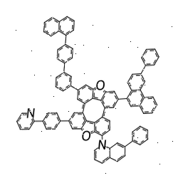 C1=CN(c2ccc3c4cc(-c5cc6ccccc6c6cc(-c7ccccc7)ccc56)cc5oc6cc(-c7cccc(-c8ccc(-c9cccc%10ccccc9%10)cc8)c7)cc(c7cc(-c8ccc(-c9ccccn9)cc8)cc8oc2c3c87)c6c54)C2C=C(c3ccccc3)C=CC2=C1